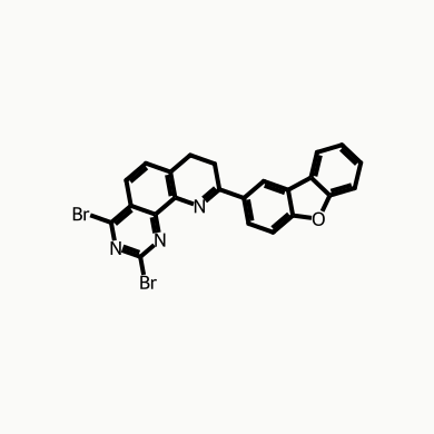 Brc1nc(Br)c2ccc3c(c2n1)N=C(c1ccc2oc4ccccc4c2c1)CC3